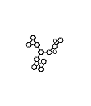 c1ccc2c(c1)-c1ccccc1C21c2ccccc2-c2ccc(-c3cc(-c4ccc5oc6cc7c(cc6c5c4)oc4ccccc47)cc(-c4ccc5c6ccccc6c6ccccc6c5c4)c3)cc21